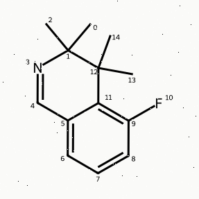 CC1(C)N=Cc2cccc(F)c2C1(C)C